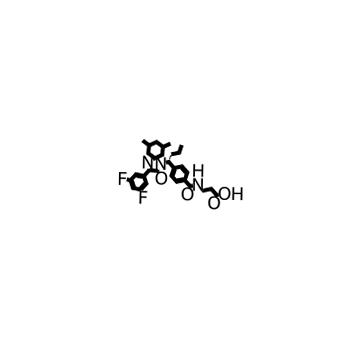 CCC[C@H](c1ccc(C(=O)NCCC(=O)O)cc1)N1C(=O)C(c2cc(F)cc(F)c2)=NC12CC(C)CC(C)C2